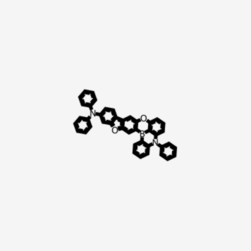 c1ccc(N(c2ccccc2)c2ccc3c(c2)oc2cc4c(cc23)Oc2cccc3c2B4c2ccccc2N3c2ccccc2)cc1